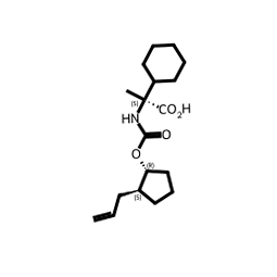 C=CC[C@@H]1CCC[C@H]1OC(=O)N[C@](C)(C(=O)O)C1CCCCC1